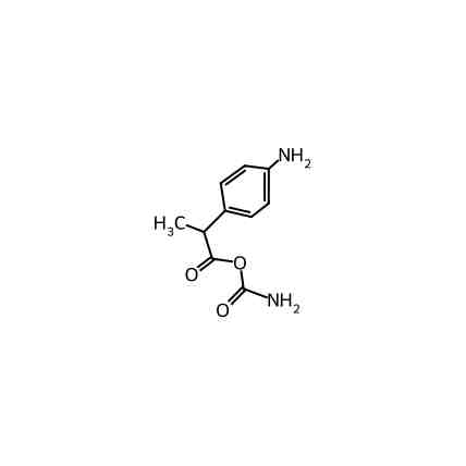 CC(C(=O)OC(N)=O)c1ccc(N)cc1